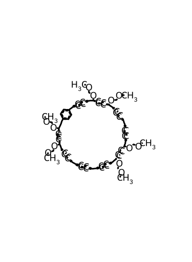 COCOC12CCC(OCOC)(CC1)c1ccc(cc1)-c1ccc(cc1)C1(OCOC)CCC(OCOC)(CC1)c1ccc(cc1)-c1ccc(cc1)C1(OCOC)CCC(OCOC)(CC1)c1ccc(cc1)-c1ccc(cc1)-c1ccc2cc1